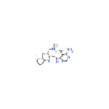 CCN(CC)Cc1cc2c(F)cccc2nc1CNc1ncnc(N)c1C#N